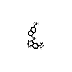 CS(=O)(=O)c1ccc2ncnc(NC3CCc4cc(O)ccc43)c2c1